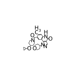 Cc1cc2[nH]c(=O)c3cnn(C4CCOCC4)c3c2cc1C(=O)N1CCC(OC2CC2)CC1